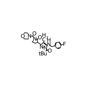 Cc1c(C2CCN(C(=O)N3CCOCC3)C2=O)nn(C(=O)C(C)(C)C)c1NCc1ccc(F)cc1